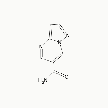 NC(=O)c1cnc2ccnn2c1